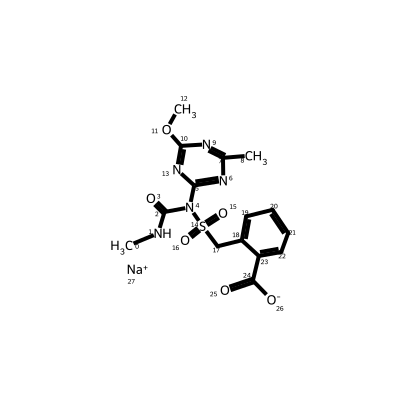 CNC(=O)N(c1nc(C)nc(OC)n1)S(=O)(=O)Cc1ccccc1C(=O)[O-].[Na+]